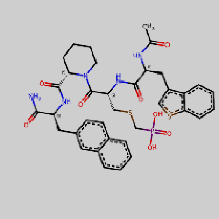 CC(=O)N[C@@H](Cc1csc2ccccc12)C(=O)N[C@H](CSCP(=O)(O)O)C(=O)N1CCCC[C@H]1C(=O)N[C@@H](Cc1ccc2ccccc2c1)C(N)=O